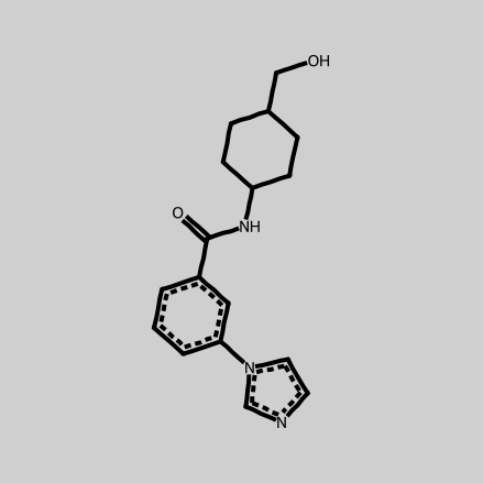 O=C(NC1CCC(CO)CC1)c1cccc(-n2ccnc2)c1